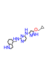 c1cc(CNc2nccc(Nc3cc(OCC4CC4)[nH]n3)n2)c2cc[nH]c2c1